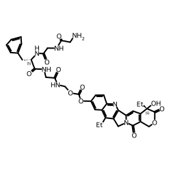 CCc1c2c(nc3ccc(OC(=O)OCNC(=O)CNC(=O)[C@H](Cc4ccccc4)NC(=O)CNC(=O)CN)cc13)-c1cc3c(c(=O)n1C2)COC(=O)[C@]3(O)CC